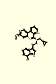 COc1ccc(-c2cccnc2C(=O)N(CCC2=CN=C3C2=CC=CC3C)CC2CC2)cn1